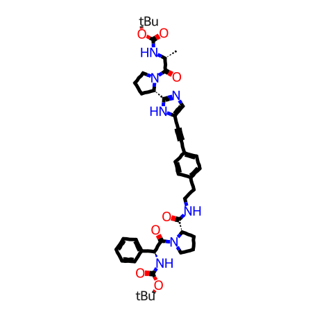 C[C@@H](NC(=O)OC(C)(C)C)C(=O)N1CCC[C@H]1c1ncc(C#Cc2ccc(CCNC(=O)[C@@H]3CCCN3C(=O)[C@H](NC(=O)OC(C)(C)C)c3ccccc3)cc2)[nH]1